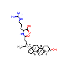 CC(CCC(=O)NC(CCCNC(=N)N)C(=O)O)[C@H]1CC[C@H]2[C@@H]3CC[C@@H]4C[C@H](O)CC[C@]4(C)[C@H]3CC[C@]12C